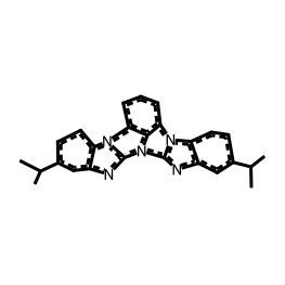 CC(C)c1ccc2c(c1)nc1n2c2cccc3c2n1c1nc2cc(C(C)C)ccc2n31